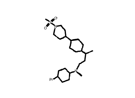 CC(C)C1CCC(N(C)CCC(C)C2CCC(C3CCN(S(C)(=O)=O)CC3)CC2)CC1